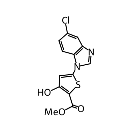 COC(=O)c1sc(-n2cnc3cc(Cl)ccc32)cc1O